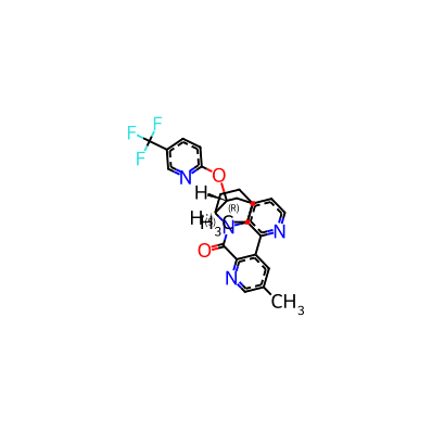 Cc1cnc(C(=O)N2CC3CC[C@H]2[C@H](Oc2ccc(C(F)(F)F)cn2)C3)c(-c2ncccc2C)c1